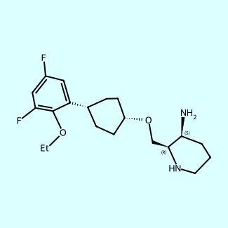 CCOc1c(F)cc(F)cc1[C@H]1CC[C@@H](OC[C@@H]2NCCC[C@@H]2N)CC1